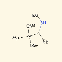 CCCCNC(CC)[Si](C)(OC)OC